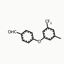 Cc1cc(Oc2ccc(C=O)cc2)cc(C(F)(F)F)c1